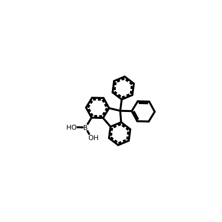 OB(O)c1cccc2c1-c1ccccc1C2(C1=CCCC=C1)c1ccccc1